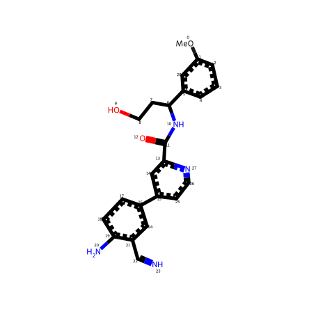 COc1cccc(C(CCO)NC(=O)c2cc(-c3ccc(N)c(C=N)c3)ccn2)c1